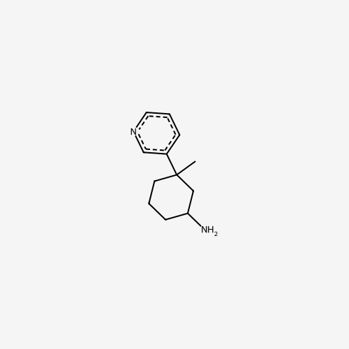 CC1(c2cccnc2)CCCC(N)C1